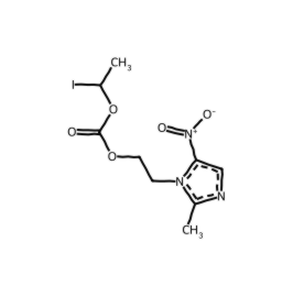 Cc1ncc([N+](=O)[O-])n1CCOC(=O)OC(C)I